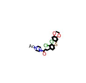 CC(=O)N1CCN(C(=O)C=Cc2ccc(Sc3ccc4c(c3)OCCO4)c(Cl)c2Cl)CC1